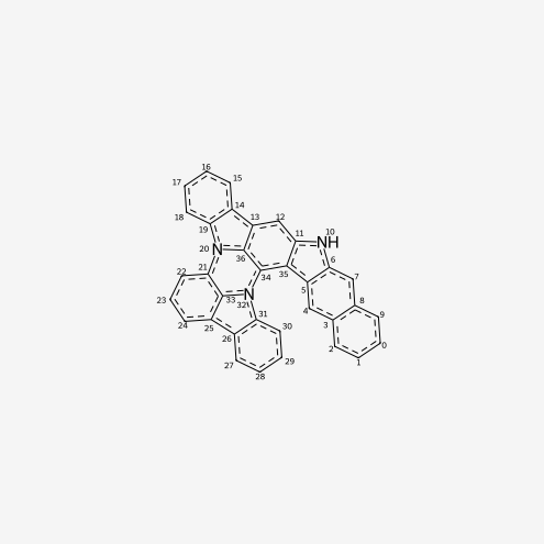 c1ccc2cc3c(cc2c1)[nH]c1cc2c4ccccc4n4c5cccc6c7ccccc7n(c65)c(c13)c24